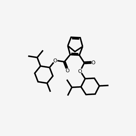 CC1CCC(C(C)C)C(OC(=O)C2=C(C(=O)OC3CC(C)CCC3C(C)C)C3C=CC2C3)C1